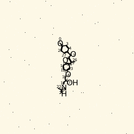 COc1ccc(C(=O)c2oc3ccc(OCC(O)CNC(C)C)cc3c2C)cc1